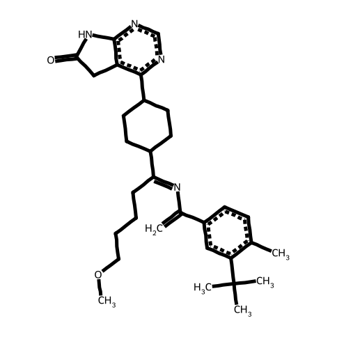 C=C(/N=C(\CCCCOC)C1CCC(c2ncnc3c2CC(=O)N3)CC1)c1ccc(C)c(C(C)(C)C)c1